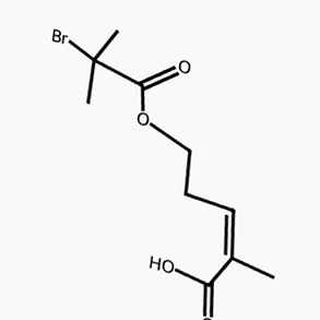 CC(=CCCOC(=O)C(C)(C)Br)C(=O)O